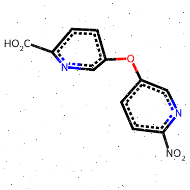 O=C(O)c1ccc(Oc2ccc([N+](=O)[O-])nc2)cn1